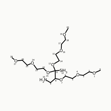 COCCOCCOC(CN)C([SiH3])(OCCOCCOC)OCCOCCOC